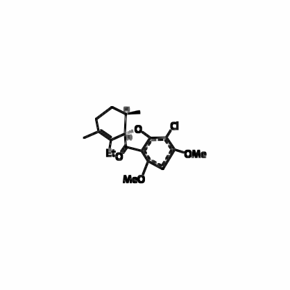 CCC1=C(C)CC[C@@H](C)[C@]12Oc1c(Cl)c(OC)cc(OC)c1C2=O